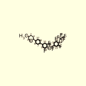 CC1CCC(c2ccc(-c3cc(F)c(OC(F)(F)c4cc(F)c(OC(F)C(F)(F)F)c(F)c4)c(F)c3)cc2)OC1